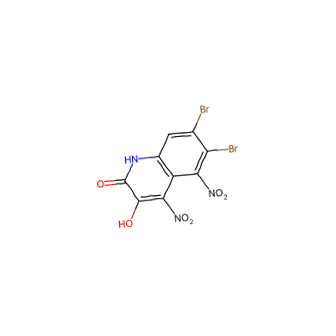 O=c1[nH]c2cc(Br)c(Br)c([N+](=O)[O-])c2c([N+](=O)[O-])c1O